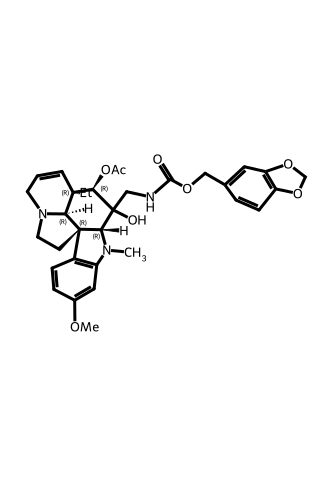 CC[C@]12C=CCN3CC[C@@]4(c5ccc(OC)cc5N(C)[C@H]4C(O)(CNC(=O)OCc4ccc5c(c4)OCO5)[C@@H]1OC(C)=O)[C@@H]32